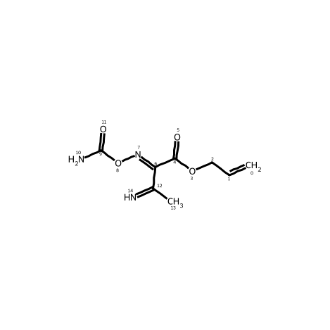 C=CCOC(=O)/C(=N/OC(N)=O)C(C)=N